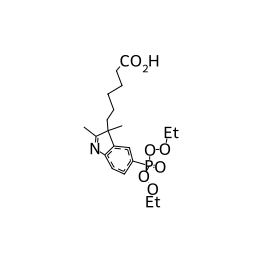 CCOOP(=O)(OOCC)c1ccc2c(c1)C(C)(CCCCCC(=O)O)C(C)=N2